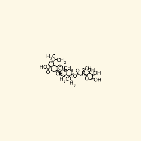 C=C(C)[C@@H]1CC[C@]2(C(=O)O)CC[C@]3(C)C(CCC4[C@@]5(C)CC[C@H](OC(=O)CN(OC)[C@@H]6OC[C@@H](O)[C@H](O)C6O)C(C)(C)C5CC[C@]43C)C12